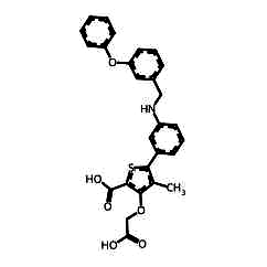 Cc1c(-c2cccc(NCc3cccc(Oc4ccccc4)c3)c2)sc(C(=O)O)c1OCC(=O)O